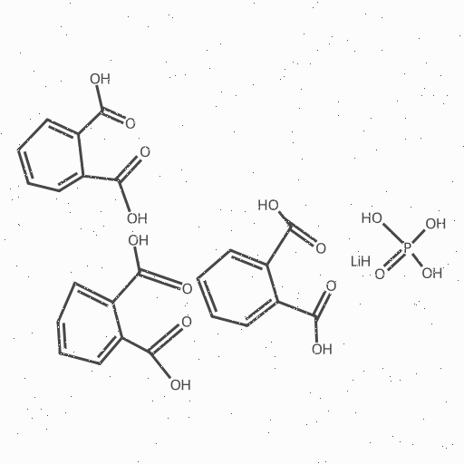 O=C(O)c1ccccc1C(=O)O.O=C(O)c1ccccc1C(=O)O.O=C(O)c1ccccc1C(=O)O.O=P(O)(O)O.[LiH]